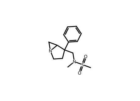 CN(CC1(c2ccccc2)CCN2CC21)S(C)(=O)=O